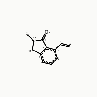 C=Cc1cccc2c1C(=O)C(C)C2